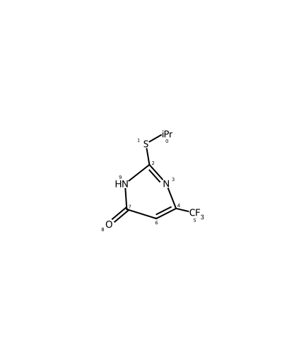 CC(C)Sc1nc(C(F)(F)F)cc(=O)[nH]1